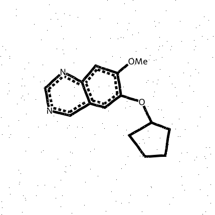 COc1cc2ncncc2cc1OC1CCCC1